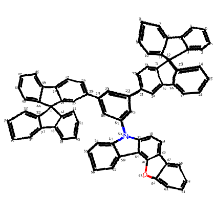 c1ccc2c(c1)-c1ccccc1C21c2ccccc2-c2cc(-c3cc(-c4ccc5c(c4)C4(c6ccccc6-c6ccccc64)c4ccccc4-5)cc(-n4c5ccccc5c5c6oc7ccccc7c6ccc54)c3)ccc21